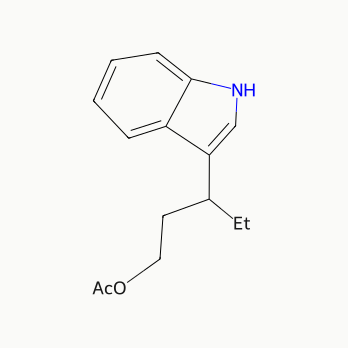 CCC(CCOC(C)=O)c1c[nH]c2ccccc12